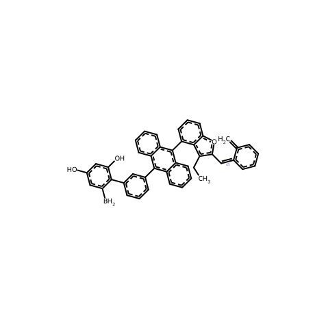 Bc1cc(O)cc(O)c1-c1cccc(-c2c3ccccc3c(-c3cccc4oc(/C=c5/ccccc5=C)c(CC)c34)c3ccccc23)c1